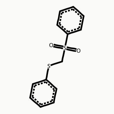 O=S(=O)(CSc1ccccc1)c1ccccc1